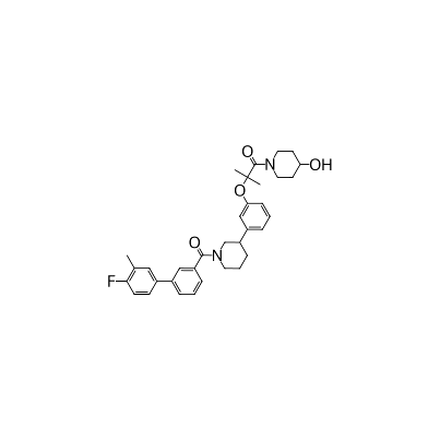 Cc1cc(-c2cccc(C(=O)N3CCCC(c4cccc(OC(C)(C)C(=O)N5CCC(O)CC5)c4)C3)c2)ccc1F